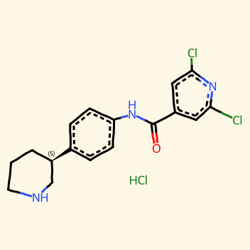 Cl.O=C(Nc1ccc([C@@H]2CCCNC2)cc1)c1cc(Cl)nc(Cl)c1